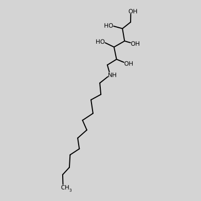 CCCCCCCCCCCCNCC(O)C(O)C(O)C(O)CO